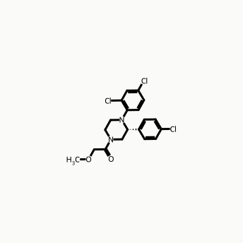 COCC(=O)N1CCN(c2ccc(Cl)cc2Cl)[C@H](c2ccc(Cl)cc2)C1